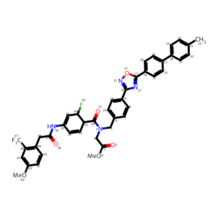 COC(=O)CN(Cc1ccc(-c2noc(-c3ccc(-c4ccc(C)cc4)cc3)n2)cc1)C(=O)C1C=CC(NC(=O)Cc2ccc(OC)cc2C(F)(F)F)=CC1F